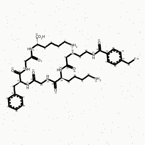 NCCCC[C@H](NC(=O)CNC(=O)[C@H](Cc1ccccc1)NC(=O)CNC(=O)[C@H](CCCCN)NC(=O)CSCCNC(=O)c1ccc(CF)cc1)C(=O)O